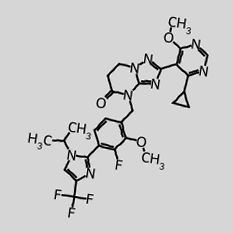 COc1ncnc(C2CC2)c1-c1nc2n(n1)CCC(=O)N2Cc1ccc(-c2nc(C(F)(F)F)cn2C(C)C)c(F)c1OC